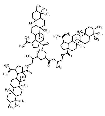 C=C(C)C1CCC2(C(=O)NCC(C)CC(=O)C(CNC(=O)C34CCC(C(=C)C)C3C3CCC5C6(C)CCC(C)C(C)(C)C6CCC5(C)C3(C)CC4)CC(=O)C(C)CNC(=O)C34CCC(C(=C)C)C3C3CCC5C6(C)CCC(C)C(C)(C)C6CCC5(C)C3(C)CC4)CCC3(C)C(CCC4C5(C)CCC(C)C(C)(C)C5CCC43C)C12